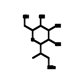 CSCC(C)C1OC(CO)C(O)C(O)C1O